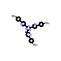 CC(C)(C)c1ccc(C2=NCC(C)(c3nc(-c4ccc(-c5ccc(C(C)(C)C)cc5)nc4)nc(-c4ccc(-c5ccc(C(C)(C)C)cc5)nc4)n3)C=C2)cc1